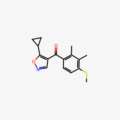 CSc1ccc(C(=O)c2cnoc2C2CC2)c(C)c1C